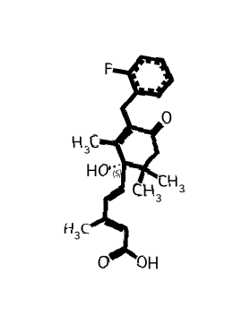 CC(C=C[C@@]1(O)C(C)=C(Cc2ccccc2F)C(=O)CC1(C)C)=CC(=O)O